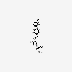 CC(C)(C)OC(=O)N1C[C@H](OCc2ccc(-n3cnc(Br)c3)cc2)[C@@H](F)C1